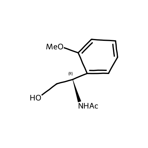 COc1ccccc1[C@H](CO)NC(C)=O